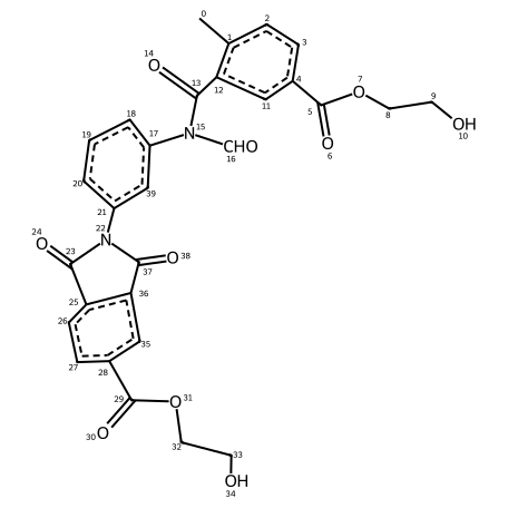 Cc1ccc(C(=O)OCCO)cc1C(=O)N(C=O)c1cccc(N2C(=O)c3ccc(C(=O)OCCO)cc3C2=O)c1